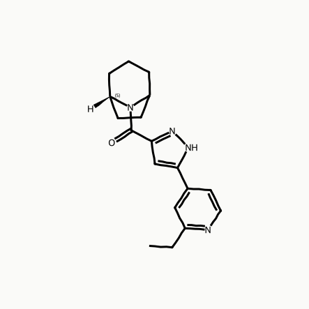 CCc1cc(-c2cc(C(=O)N3C4CCC[C@H]3CC4)n[nH]2)ccn1